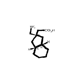 NC[C@]1(CC(=O)O)C[C@H]2CCCC[C@H]2C1